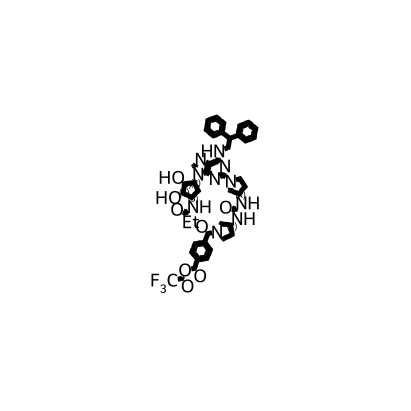 CCC(=O)N[C@H]1C[C@@H](n2cnc3c(NCC(c4ccccc4)c4ccccc4)nc(N4CC[C@@H](NC(=O)N[C@@H]5CCN(C(=O)c6ccc(C(=O)OC(=O)C(F)(F)F)cc6)C5)C4)nc32)[C@H](O)[C@@H]1O